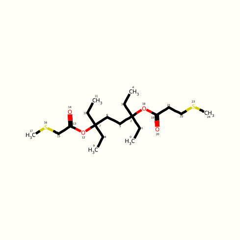 CCC(CC)(CCC(CC)(CC)OC(=O)CSC)OC(=O)CCSC